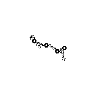 CC1(C)OCc2cc([C@@H]3CN(CCc4ccc(OCCOCc5cccc(S(=O)(=O)N(COCC[Si](C)(C)C)C6CCCCC6)c5)cc4)C(=O)O3)ccc2O1